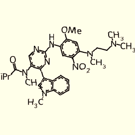 COc1cc(N(C)CCN(C)C)c([N+](=O)[O-])cc1Nc1ncc(N(C)C(=O)C(C)C)c(-c2cn(C)c3ccccc23)n1